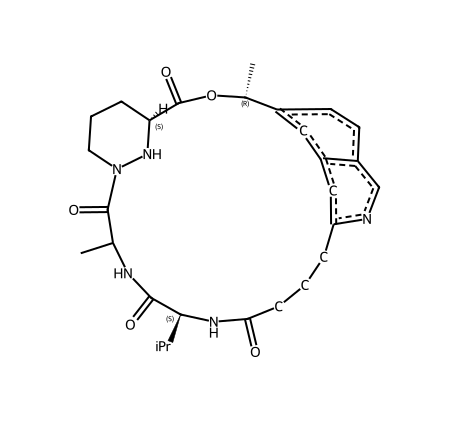 CC1NC(=O)[C@H](C(C)C)NC(=O)CCCc2cc3cc(ccc3cn2)[C@@H](C)OC(=O)[C@@H]2CCCN(N2)C1=O